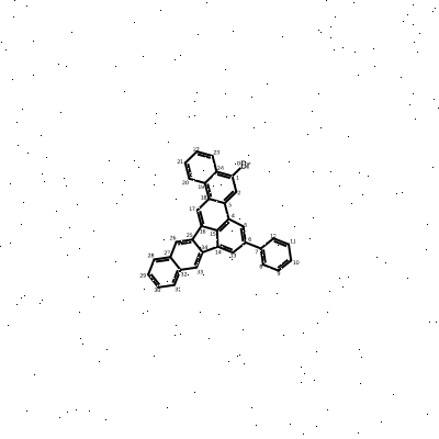 Brc1cc2c3cc(-c4ccccc4)cc4c3c(cc2c2ccccc12)-c1cc2ccccc2cc1-4